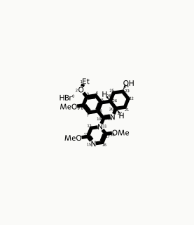 Br.CCOc1cc2c(cc1OC)C(N1CC(OC)=NC=C1OC)=N[C@@H]1CC[C@@H](O)C[C@H]21